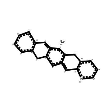 C1=c2cc3c(cc2Cc2ccccc21)=Cc1ncccc1C3.[Na]